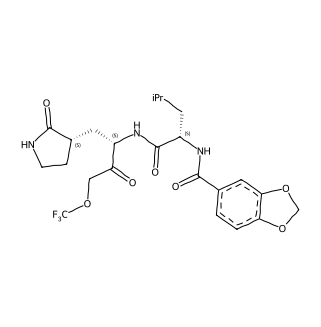 CC(C)C[C@H](NC(=O)c1ccc2c(c1)OCO2)C(=O)N[C@@H](C[C@@H]1CCNC1=O)C(=O)COC(F)(F)F